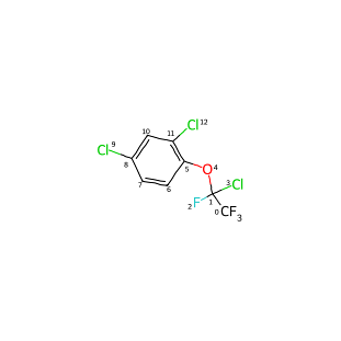 FC(F)(F)C(F)(Cl)Oc1ccc(Cl)cc1Cl